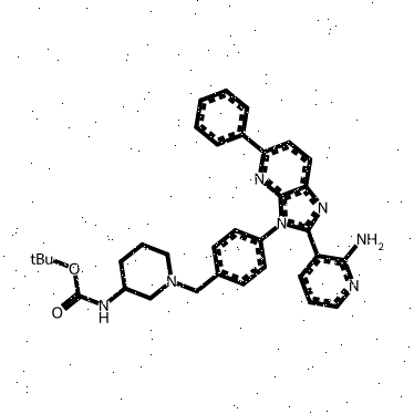 CC(C)(C)OC(=O)NC1CCCN(Cc2ccc(-n3c(-c4cccnc4N)nc4ccc(-c5ccccc5)nc43)cc2)C1